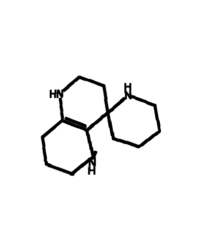 C1CCC2(CCNC3=C2C2(CCC3)CCNC2)NC1